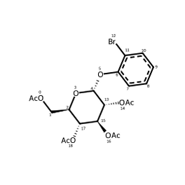 CC(=O)OC[C@H]1O[C@H](Oc2ccccc2Br)[C@H](OC(C)=O)[C@@H](OC(C)=O)[C@@H]1OC(C)=O